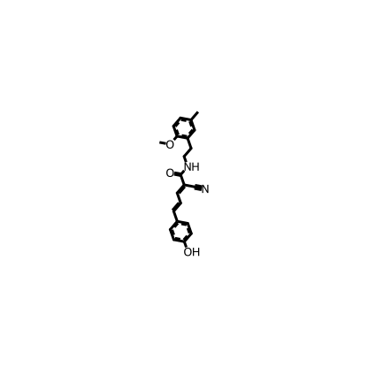 COc1ccc(C)cc1CCNC(=O)/C(C#N)=C/C=C/c1ccc(O)cc1